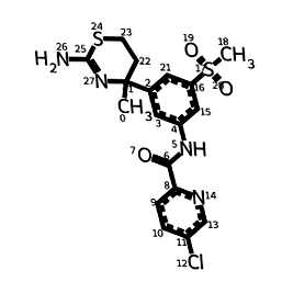 CC1(c2cc(NC(=O)c3ccc(Cl)cn3)cc(S(C)(=O)=O)c2)CCSC(N)=N1